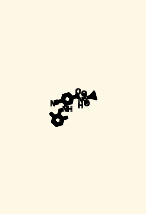 Cc1cccc(C)c1CNc1cc(C(=O)NS(=O)(=O)C2CC2)ccc1C#N